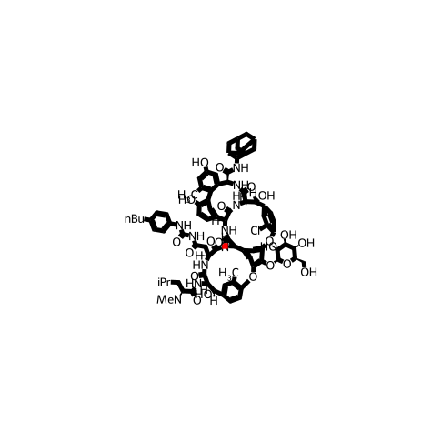 CCCCc1ccc(NC(=O)NC(=O)C[C@@H]2NC(=O)[C@H](NC(=O)[C@@H](CC(C)C)NC)[C@H](O)c3ccc(c(C)c3)Oc3cc4cc(c3O[C@@H]3O[C@H](CO)[C@@H](O)[C@H](O)[C@H]3O)Oc3ccc(cc3Cl)[C@@H](O)[C@@H]3NC(=O)[C@@H](NC(=O)[C@@H]4NC2=O)c2ccc(O)c(c2)-c2c(C)cc(O)cc2[C@@H](C(=O)NC2C4CC5CC(C4)CC2C5)NC3=O)cc1